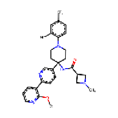 CCOc1ncccc1-c1ccc(C2(NC(=O)C3CN(C)C3)CCN(c3ccc(C(F)(F)F)cc3C#N)CC2)cn1